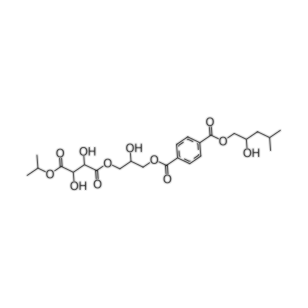 CC(C)CC(O)COC(=O)c1ccc(C(=O)OCC(O)COC(=O)C(O)C(O)C(=O)OC(C)C)cc1